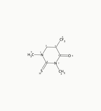 CN1CC(C(F)(F)F)C(=O)N(C)C1=S